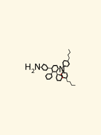 CCCCc1ccc(N(c2ccc(CCCC)cc2)c2ccc(-c3ccc(N)cc3)c(-c3ccccc3)c2-c2ccccc2)cc1